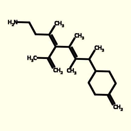 C=C1CCC(C(C)/C(C)=C(C)/C(C(=C)C)=C(\C)CCN)CC1